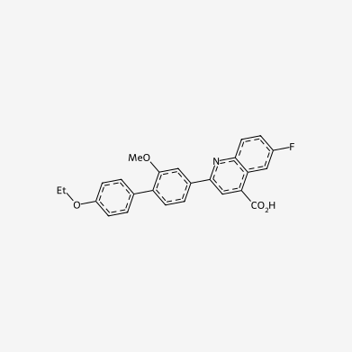 CCOc1ccc(-c2ccc(-c3cc(C(=O)O)c4cc(F)ccc4n3)cc2OC)cc1